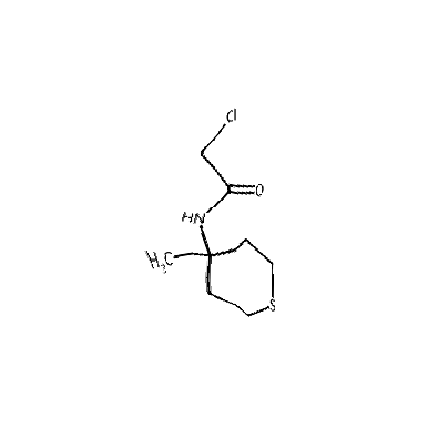 CC1(NC(=O)CCl)CCSCC1